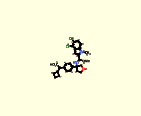 COC(NC1(c2ccc(C(C(=O)O)C3CCC3)cc2)CCOC1)c1cc2c(Cl)c(Cl)ccc2n1C